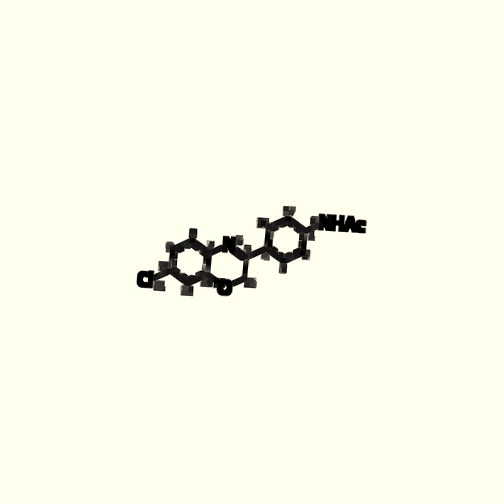 CC(=O)Nc1ccc(C2=Nc3ccc(Cl)cc3OC2)cc1